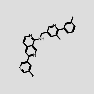 Cc1cccc(-c2ncc(CNc3nccc4cc(-c5cncc(F)c5)ncc34)cc2C)c1